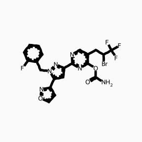 NC(=O)Oc1nc(-c2cc(-c3ccon3)n(Cc3ccccc3F)n2)ncc1CC(Br)C(F)(F)F